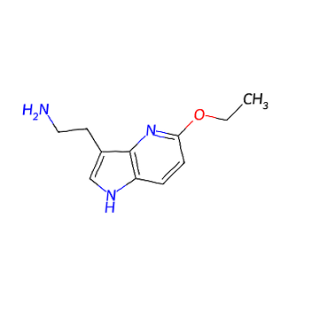 CCOc1ccc2[nH]cc(CCN)c2n1